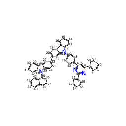 c1ccc(-c2cc(-c3ccc(-n4c5ccccc5c5ccc(-c6ccc7c(c6)c6ccccc6n7-c6cccc7ccccc67)cc54)cc3)nc(-c3ccccc3)n2)cc1